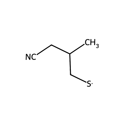 CC(C[S])CC#N